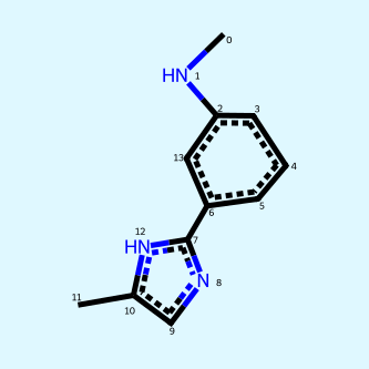 CNc1cccc(-c2ncc(C)[nH]2)c1